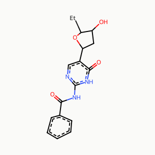 CCC1OC(c2cnc(NC(=O)c3ccccc3)[nH]c2=O)CC1O